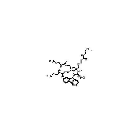 CN(C(=O)OC1c2ccccc2-c2ccccc21)C(COCCC(=O)NCCN)(COCCC(=O)NCCN)COCCC(=O)NCCN.Cl